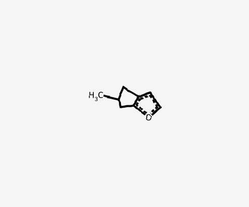 CC1Cc2ccoc2C1